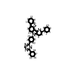 c1ccc(-c2ccc3c(n2)c2c4sc5ccccc5c4ccc2n3-c2ccc(-c3ncnc(-c4ccccc4)n3)cc2)cc1